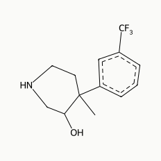 CC1(c2cccc(C(F)(F)F)c2)CCNCC1O